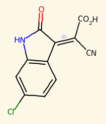 N#C/C(C(=O)O)=C1/C(=O)Nc2cc(Cl)ccc21